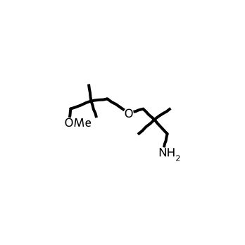 COCC(C)(C)COCC(C)(C)CN